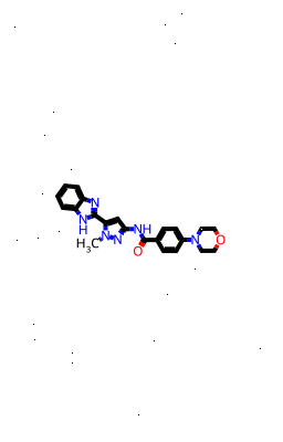 Cn1nc(NC(=O)c2ccc(N3CCOCC3)cc2)cc1-c1nc2ccccc2[nH]1